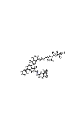 NC(CCCC[C@H](N)C(=O)O)CCSCc1cccc(C(=O)Nc2ccc(N3CCCCC3)cc2C(=O)N/N=C/c2ccc(Cl)c(C(F)(F)F)c2)c1